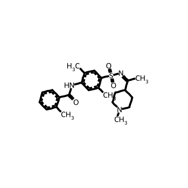 C/C(=N/S(=O)(=O)c1cc(C)c(NC(=O)c2ccccc2C)cc1C)C1CCN(C)CC1